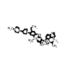 CCc1cc(Nc2ncc(Br)c(Nc3ccc4nccnc4c3N(SC)C(C)C)n2)c(OC)cc1N1CCC(N2CCN(C)CC2)CC1